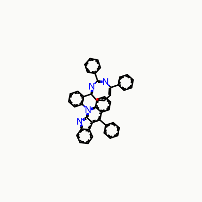 C1=C(c2ccccc2)/N=C(c2ccccc2)\N=C(\c2ccccc2-n2c3nc4ccccc4c-3c(-c3ccccc3)c3ccccc32)CC\1